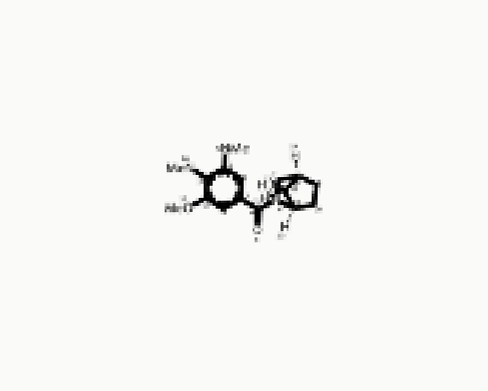 CNc1cc(C(=O)N2C[C@H]3CC[C@@H]2[C@@H]3N)cc(OC)c1NC